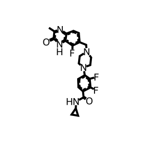 Cc1nc2ccc(CN3CCN(c4ccc(C(=O)NC5CC5)c(F)c4F)CC3)c(F)c2[nH]c1=O